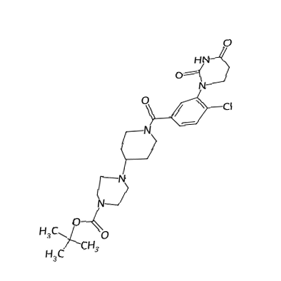 CC(C)(C)OC(=O)N1CCN(C2CCN(C(=O)c3ccc(Cl)c(N4CCC(=O)NC4=O)c3)CC2)CC1